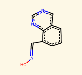 ON=Cc1cccc2cncnc12